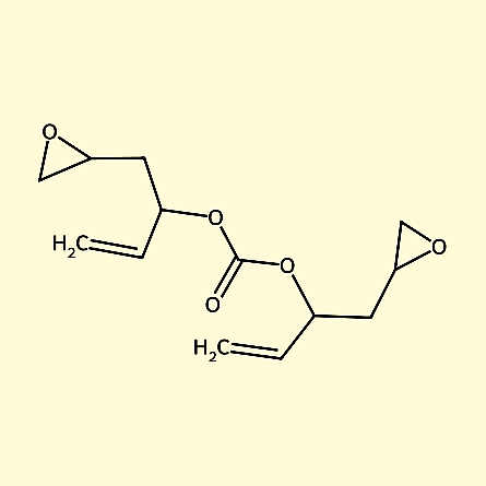 C=CC(CC1CO1)OC(=O)OC(C=C)CC1CO1